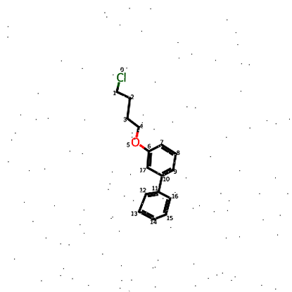 ClCCCCOc1cccc(-c2ccccc2)c1